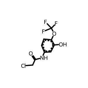 O=C(CCl)Nc1ccc(OC(F)(F)F)c(O)c1